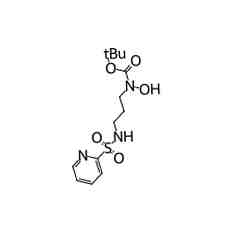 CC(C)(C)OC(=O)N(O)CCCNS(=O)(=O)c1ccccn1